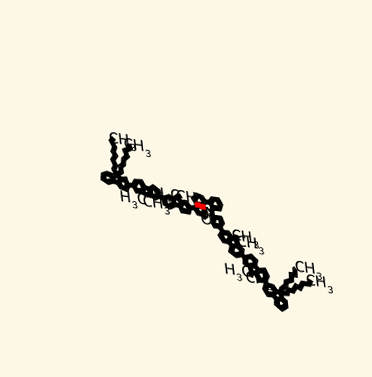 CCCCCCCCC1(CCCCCCCC)c2ccccc2-c2ccc(-c3ccc4c(c3)C(C)(C)c3cc(-c5ccc6c(c5)C(C)(C)c5cc(-c7ccc8c(c7)Oc7cc(-c9ccc%10c(c9)C(C)(C)c9cc(-c%11ccc%12c(c%11)C(C)(C)c%11cc(-c%13ccc%14c(c%13)C(CCCCCCCC)(CCCCCCCC)c%13ccccc%13-%14)ccc%11-%12)ccc9-%10)ccc7N8c7ccccc7-c7ccccc7)ccc5-6)ccc3-4)cc21